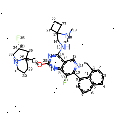 Cc1cccc2cccc(-c3ncc4c(NCC5(N(C)C)CCC5)nc(OC[C@@]56CCCN5C[C@H](F)C6)nc4c3F)c12